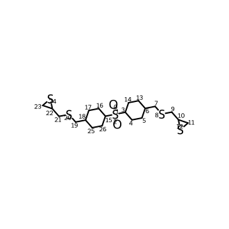 O=S(=O)(C1CCC(CSCC2CS2)CC1)C1CCC(CSCC2CS2)CC1